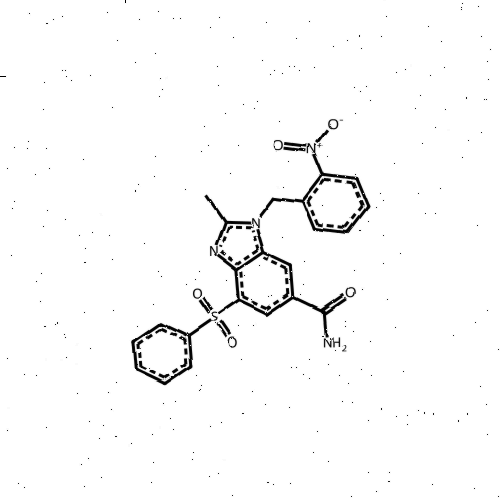 Cc1nc2c(S(=O)(=O)c3ccccc3)cc(C(N)=O)cc2n1Cc1ccccc1[N+](=O)[O-]